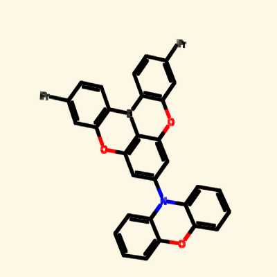 CC(C)c1ccc2c(c1)Oc1cc(N3c4ccccc4Oc4ccccc43)cc3c1B2c1ccc(C(C)C)cc1O3